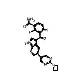 NC(=O)c1ccc(F)c(C(=O)c2c[nH]c3ncc(-c4cnc(N5CCC5)nc4)cc23)c1F